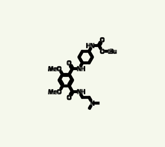 COc1cc(OC)c(C(=O)NC2CCC(NC(=O)OC(C)(C)C)CC2)cc1C(=O)NCCN(C)C